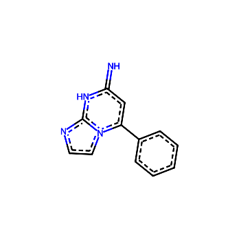 N=c1cc(-c2ccccc2)n2ccnc2[nH]1